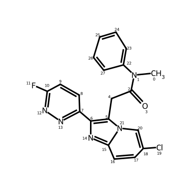 CN(C(=O)Cc1c(-c2ccc(F)nn2)nc2ccc(Cl)cn12)c1ccccc1